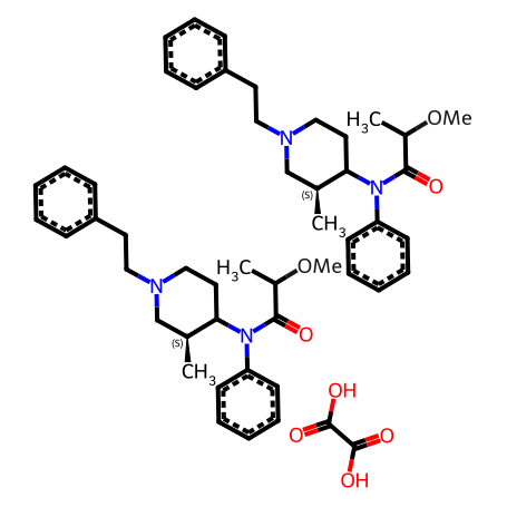 COC(C)C(=O)N(c1ccccc1)C1CCN(CCc2ccccc2)C[C@@H]1C.COC(C)C(=O)N(c1ccccc1)C1CCN(CCc2ccccc2)C[C@@H]1C.O=C(O)C(=O)O